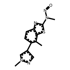 Cc1c(-c2cnn(C)c2)ccc2nc(N(C)N=O)sc12